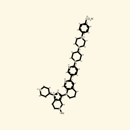 CC(=O)N1CCc2c(c(N3CCCc4cc(-c5ccc(N6CCC(N7CCN(c8ccc(C(=O)O)cc8)CC7)CC6)nc5)ncc43)nn2C2CCOCC2)C1